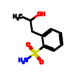 CC(O)Cc1ccccc1S(N)(=O)=O